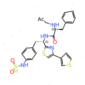 CC(=O)CN[C@@H](Cc1ccccc1)C(=O)N[C@@H](Cc1ccc(N[SH](=O)=O)cc1)c1nc(-c2ccsc2)cs1